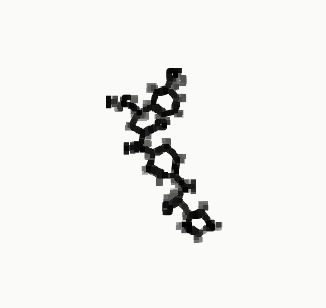 C[C@H](CC(=O)Nc1ccc(NC(=O)c2cscn2)cc1)c1cccc(C(F)(F)F)c1